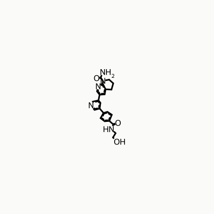 NC(=O)N1CCCc2cc(-c3cncc(-c4ccc(C(=O)NCCO)cc4)c3)cnc21